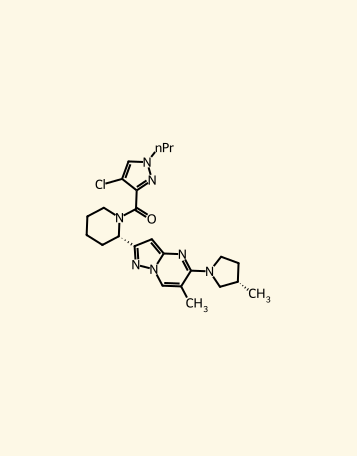 CCCn1cc(Cl)c(C(=O)N2CCCC[C@H]2c2cc3nc(N4CC[C@H](C)C4)c(C)cn3n2)n1